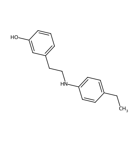 CCc1ccc(NCCc2cccc(O)c2)cc1